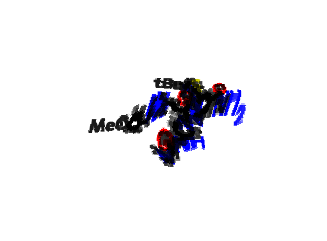 COc1ccc(Cn2nnc(C=Cc3c(N4CCC(NC(=O)CN(C)C)CC4)nc4cc(C(N)=O)cc(-c5nc(C(C)(C)C)cs5)n4c3=O)n2)cc1